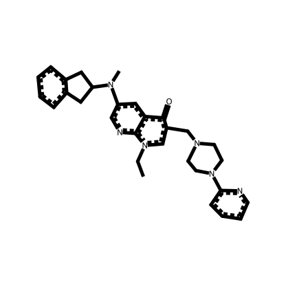 CCn1cc(CN2CCN(c3ccccn3)CC2)c(=O)c2cc(N(C)C3Cc4ccccc4C3)cnc21